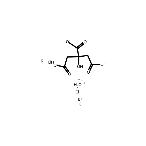 Cl.Cl.O.O.O=C([O-])CC(O)(CC(=O)[O-])C(=O)[O-].[K+].[K+].[K+]